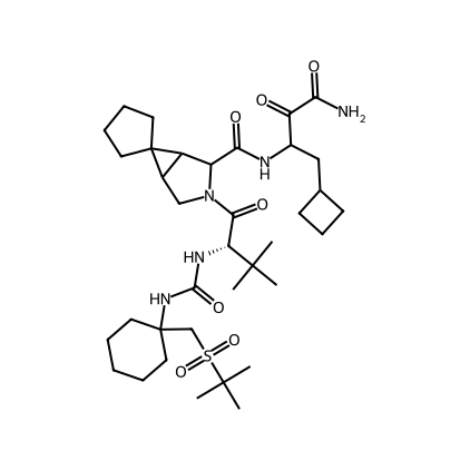 CC(C)(C)[C@H](NC(=O)NC1(CS(=O)(=O)C(C)(C)C)CCCCC1)C(=O)N1CC2C(C1C(=O)NC(CC1CCC1)C(=O)C(N)=O)C21CCCC1